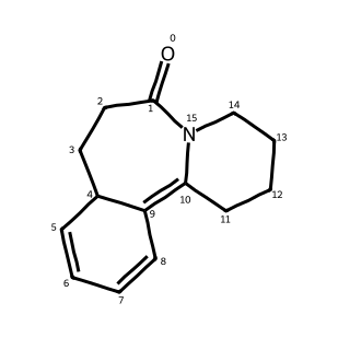 O=C1CCC2C=CC=CC2=C2CCCCN12